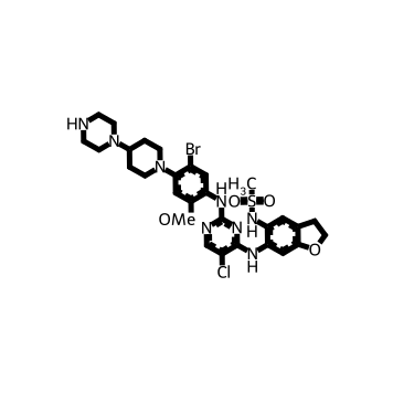 COc1cc(N2CCC(N3CCNCC3)CC2)c(Br)cc1Nc1ncc(Cl)c(Nc2cc3c(cc2NS(C)(=O)=O)CCO3)n1